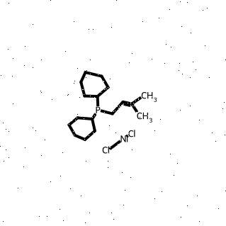 CC(C)=CCP(C1CCCCC1)C1CCCCC1.[Cl][Ni][Cl]